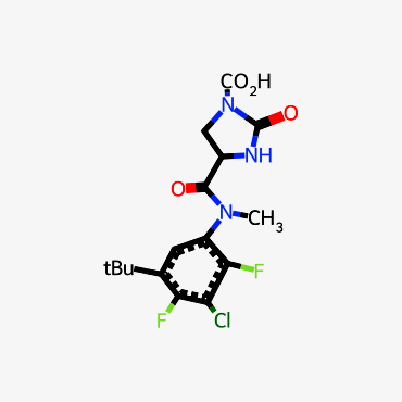 CN(C(=O)C1CN(C(=O)O)C(=O)N1)c1cc(C(C)(C)C)c(F)c(Cl)c1F